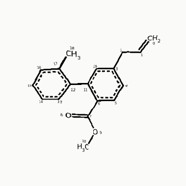 C=CCc1ccc(C(=O)OC)c(-c2ccccc2C)c1